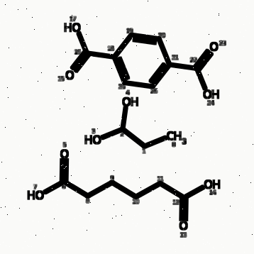 CCC(O)O.O=C(O)CCCCC(=O)O.O=C(O)c1ccc(C(=O)O)cc1